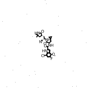 COc1c(F)cc(Cl)c2[nH]c(C(=O)NC(CC3CC3)C(=O)N[C@H](C#N)C[C@@H]3CC(C)(C)NC3=O)cc12